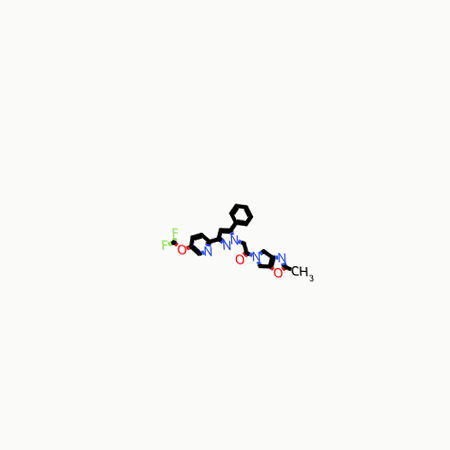 Cc1nc2c(o1)CN(C(=O)Cn1nc(-c3ccc(OC(F)F)cn3)cc1-c1ccccc1)C2